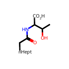 CCCCCCCCC(=O)NC(C(=O)O)C(C)O